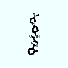 Cc1ccccc1-c1nc(C(=O)Nc2ccc(N3CCC(N(C)C)C3)cc2)cs1